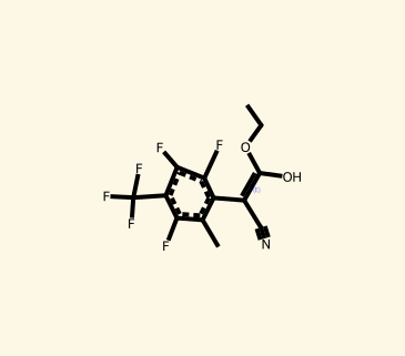 CCO/C(O)=C(/C#N)c1c(C)c(F)c(C(F)(F)F)c(F)c1F